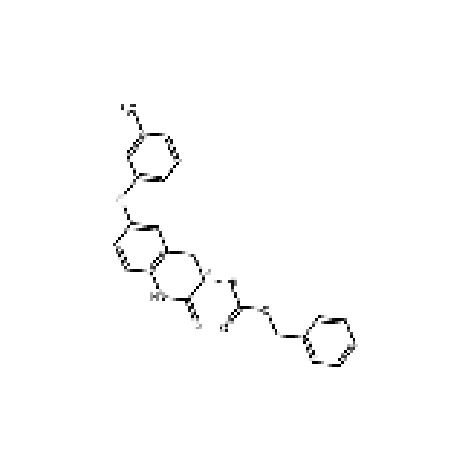 O=C(N[C@H]1Cc2cc(Oc3cccc(C(F)(F)F)c3)ccc2NC1=S)OCc1ccccc1